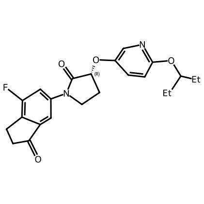 CCC(CC)Oc1ccc(O[C@@H]2CCN(c3cc(F)c4c(c3)C(=O)CC4)C2=O)cn1